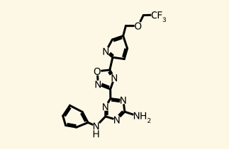 Nc1nc(Nc2ccccc2)nc(-c2noc(-c3ccc(COCC(F)(F)F)cn3)n2)n1